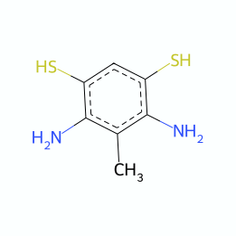 Cc1c(N)c(S)cc(S)c1N